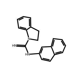 N=C(Nc1ccc2ccccc2c1)N1CCc2ccccc21